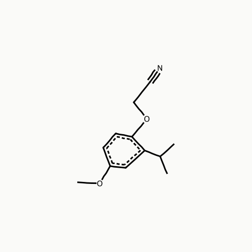 COc1ccc(OCC#N)c(C(C)C)c1